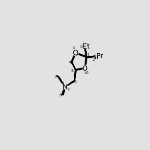 CCC1(C(C)C)OCC(CN(C)C)O1